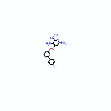 NNc1nc(N)cc(OCc2cccc(-c3ccc(F)cc3)c2)c1N